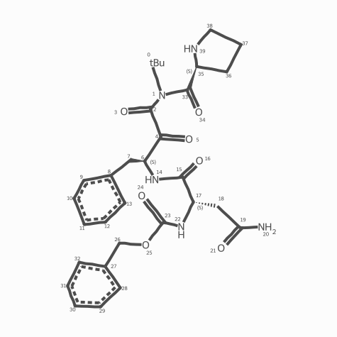 CC(C)(C)N(C(=O)C(=O)[C@H](Cc1ccccc1)NC(=O)[C@H](CC(N)=O)NC(=O)OCc1ccccc1)C(=O)[C@@H]1CCCN1